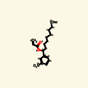 C=CC(=O)OC(CCCCCCCCCCCCCCCCC)c1cccc([N+](=O)[O-])c1